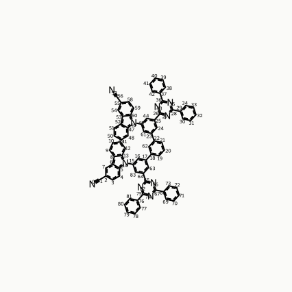 N#Cc1ccc2c(c1)c1ccccc1n2-c1cc(-c2cccc(-c3cc(-c4nc(-c5ccccc5)nc(-c5ccccc5)n4)cc(-n4c5ccccc5c5cc(C#N)ccc54)c3)c2)cc(-c2nc(-c3ccccc3)nc(-c3ccccc3)n2)c1